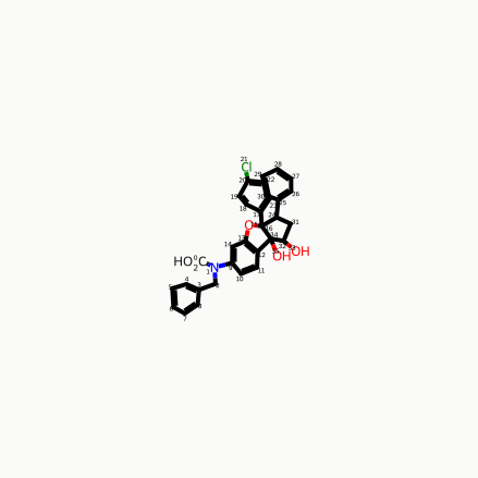 O=C(O)N(Cc1ccccc1)c1ccc2c(c1)OC1(c3ccc(Cl)cc3)C(c3ccccc3)CC(O)C21O